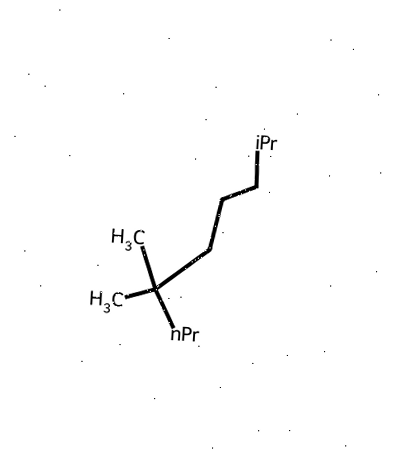 [CH2]C(C)CCCC(C)(C)CCC